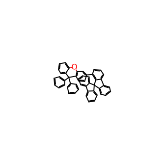 c1ccc(C2(c3ccccc3)c3ccccc3Oc3cc(-c4cccc5c4C4(c6ccccc6-c6ccccc64)c4ccccc4-5)ccc32)cc1